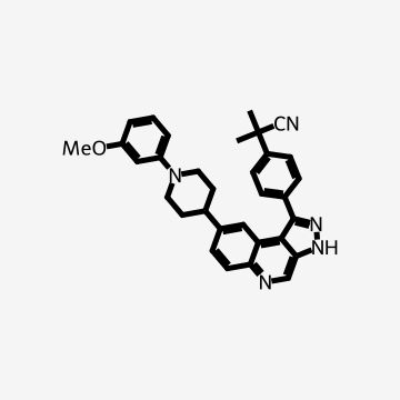 COc1cccc(N2CCC(c3ccc4ncc5[nH]nc(-c6ccc(C(C)(C)C#N)cc6)c5c4c3)CC2)c1